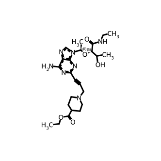 CCNC(=O)[C@@H](O[C@H](C)n1cnc2c(N)nc(C#CCN3CCC(C(=O)OCC)CC3)nc21)C(C)O